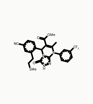 COC(=O)C1=C(C)N(c2cccc(C(F)(F)F)c2)c2n[nH]c(=O)n2C1c1ccc(C#N)cc1CCSC